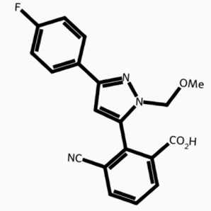 COCn1nc(-c2ccc(F)cc2)cc1-c1c(C#N)cccc1C(=O)O